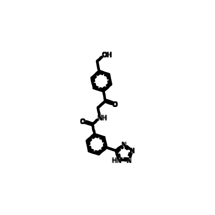 O=C(CNC(=O)c1cccc(-c2nnn[nH]2)c1)c1ccc(CO)cc1